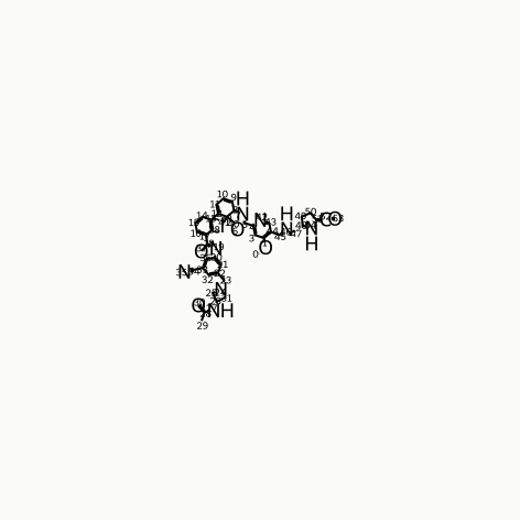 COc1cc(C(=O)NC2C=CC=C(c3cccc(-c4nc5cc(CN6CC(NC(C)=O)C6)cc(C#N)c5o4)c3)C2(C)Cl)ncc1CNC[C@@H]1CCC(=C=O)N1